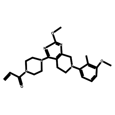 C=CC(=O)N1CCN(c2nc(OC)nc3c2CCN(c2cccc(OC)c2C)C3)CC1